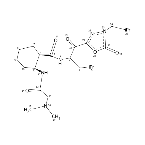 CC(C)CC(NC(=O)[C@@H]1CCCC[C@@H]1NC(=O)CN(C)C)C(=O)c1nn(CC(C)C)c(=O)o1